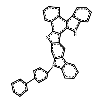 c1ccc(-c2ccc(-n3c4ccccc4c4cc5c(cc43)sc3c4ccccc4c4c6ccccc6[nH]c4c53)cc2)cc1